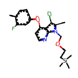 Cc1ccc(Oc2ccnc3c2c(Cl)c(C)n3COCC[Si](C)(C)C)cc1F